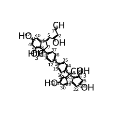 C#C/C=C(O)\C=C/CC(C)(c1ccc(-c2ccc(C(C)(c3ccc(O)cc3O)C3C=CC(O)=C3)cc2)cc1)c1ccc(O)cc1O